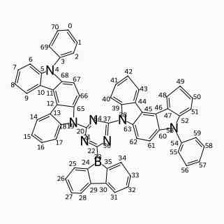 c1ccc(-n2c3ccccc3c3c4c5ccccc5n(-c5nc(B6c7ccccc7-c7ccccc76)nc(-n6c7ccccc7c7c8c9ccccc9n(-c9ccccc9)c8ccc76)n5)c4ccc32)cc1